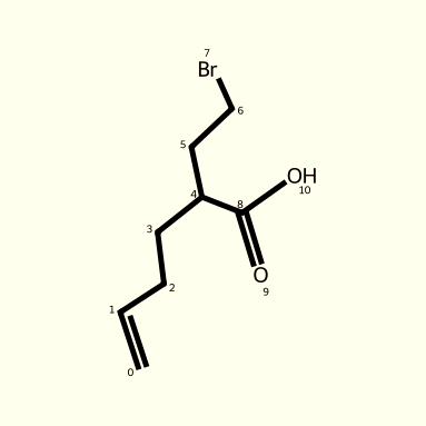 C=CCCC(CCBr)C(=O)O